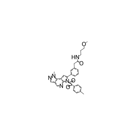 COCCCNC(=O)Cc1cccc(-c2cc3c4c(cnc3n2S(=O)(=O)c2ccc(C)cc2)cnn4C)c1